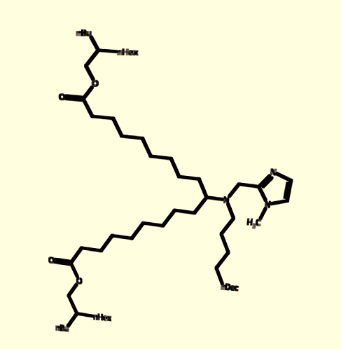 CCCCCCCCCCCCCCN(Cc1nccn1C)C(CCCCCCCCC(=O)OCC(CCCC)CCCCCC)CCCCCCCCC(=O)OCC(CCCC)CCCCCC